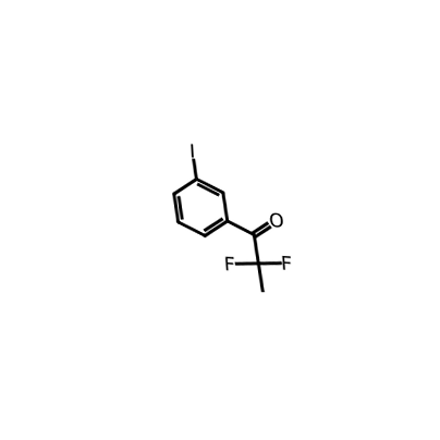 CC(F)(F)C(=O)c1cccc(I)c1